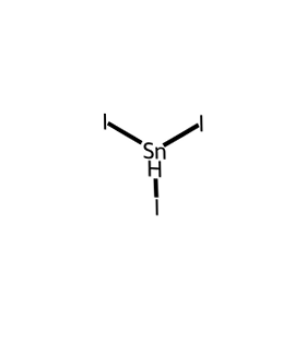 [I][SnH]([I])[I]